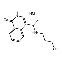 CC(NCCCO)c1c[nH]c(=O)c2ccccc12.Cl